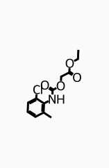 CCOC(=O)COC(=O)Nc1c(C)cccc1Cl